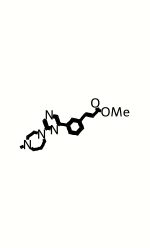 COC(=O)C=Cc1cccc(-c2cncc(N3CCCN(C)CC3)n2)c1